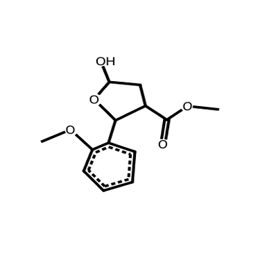 COC(=O)C1CC(O)OC1c1ccccc1OC